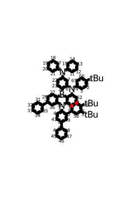 CC(C)(C)c1ccc(N2c3cc(N(c4ccccc4)c4ccccc4)ccc3B3c4ccc(-c5ccccc5)cc4N(c4ccc(-c5ccccc5)cc4-c4ccc(C(C)(C)C)c(C(C)(C)C)c4)c4cccc2c43)cc1